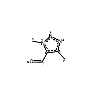 Cc1nnn(C)c1C=O